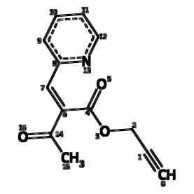 C#CCOC(=O)/C(=C\c1ccccn1)C(C)=O